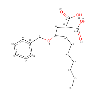 CCCCCCC1C(OCc2ccccc2)CC1(C(=O)O)C(=O)O